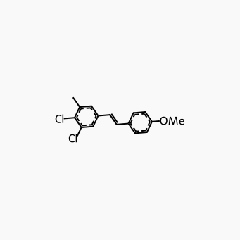 COc1ccc(C=Cc2cc(C)c(Cl)c(Cl)c2)cc1